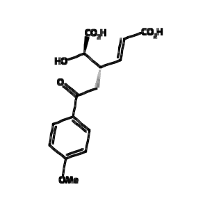 COc1ccc(C(=O)C[C@@H](/C=C/C(=O)O)[C@@H](O)C(=O)O)cc1